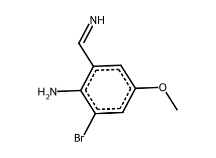 COc1cc(Br)c(N)c(C=N)c1